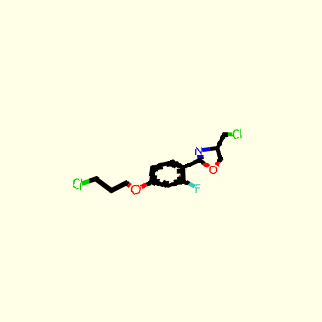 Fc1cc(OCCCCl)ccc1C1=NC(CCl)CO1